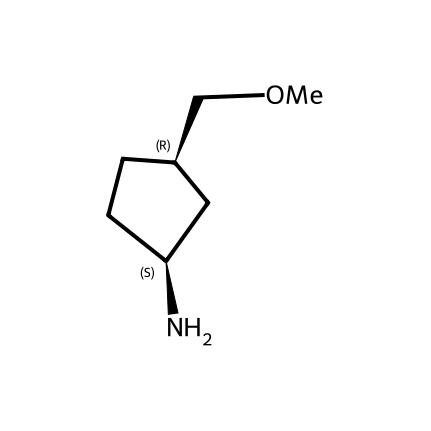 COC[C@@H]1CC[C@H](N)C1